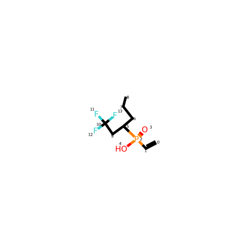 C=CP(=O)(O)C(CCC)CC(F)(F)F